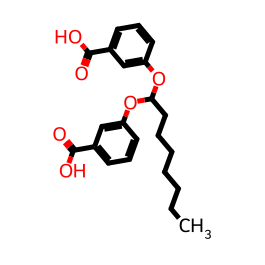 CCCCCCCC(Oc1cccc(C(=O)O)c1)Oc1cccc(C(=O)O)c1